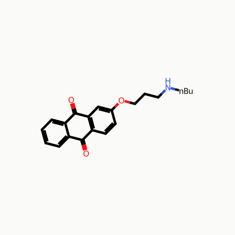 CCCCNCCCOc1ccc2c(c1)C(=O)c1ccccc1C2=O